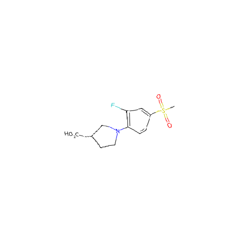 CS(=O)(=O)c1ccc(N2CCC(C(=O)O)C2)c(F)c1